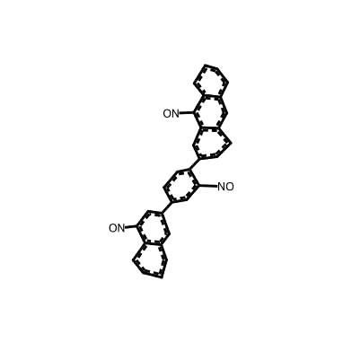 O=Nc1cc(-c2cc(N=O)c3ccccc3c2)ccc1-c1ccc2cc3ccccc3c(N=O)c2c1